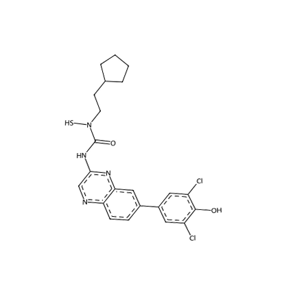 O=C(Nc1cnc2ccc(-c3cc(Cl)c(O)c(Cl)c3)cc2n1)N(S)CCC1CCCC1